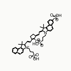 CC1(C)C(=C/C=C2\CCC(C=CC3=[N+](CCCS(=O)(=O)O)c4ccc5ccccc5c4C3(C)C)=C2Cl)N(CCCS(=O)(=O)O)c2ccc3cc(S(=O)(=O)O)ccc3c21